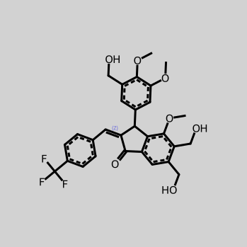 COc1cc(C2/C(=C/c3ccc(C(F)(F)F)cc3)C(=O)c3cc(CO)c(CO)c(OC)c32)cc(CO)c1OC